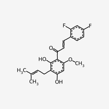 COc1cc(O)c(CC=C(C)C)c(O)c1C(=O)/C=C/c1ccc(F)cc1F